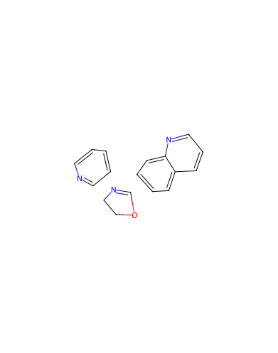 C1=NCCO1.c1ccc2ncccc2c1.c1ccncc1